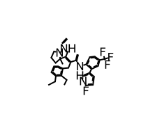 C=CNN1CCCC1(C)/C(C)=C(\Cc1cccc(CC)c1CC)C(=C)Nc1ccc(C(F)(F)F)cc1-c1ccc(F)nc1